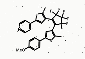 COc1ccc(-c2cc(C3=C(c4cc(-c5ccncc5)sc4C)C(F)(F)C(F)(F)C3(F)F)c(C)s2)cc1